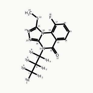 [2H]C([2H])([2H])C([2H])([2H])C([2H])([2H])n1c(=O)c2cccc(F)c2n2c(SC)nnc12